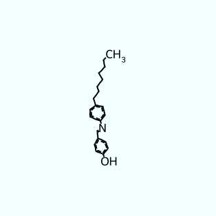 CCCCCCCCc1ccc(N=Cc2ccc(O)cc2)cc1